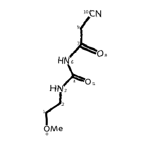 COCCNC(=O)NC(=O)CC#N